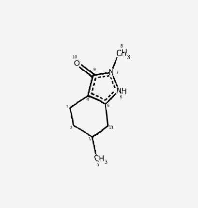 CC1CCc2c([nH]n(C)c2=O)C1